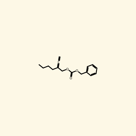 C=C=C(CCCC)COC(=O)OCc1ccccc1